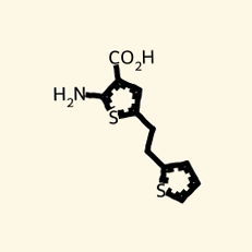 Nc1sc(CCc2cccs2)cc1C(=O)O